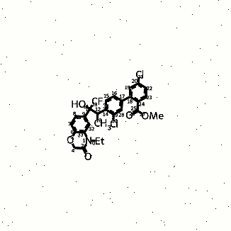 CCN1C(=O)COc2ccc(C(O)(C(C)c3ccc(-c4cc(Cl)ccc4C(=O)OC)cc3Cl)C(F)(F)F)cc21